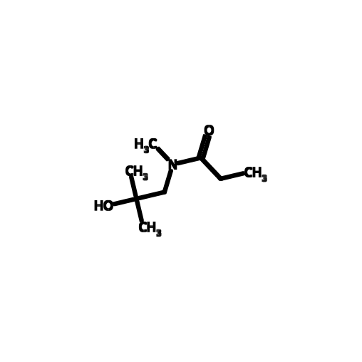 CCC(=O)N(C)CC(C)(C)O